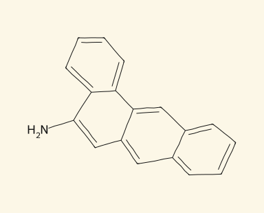 Nc1cc2cc3ccccc3cc2c2ccccc12